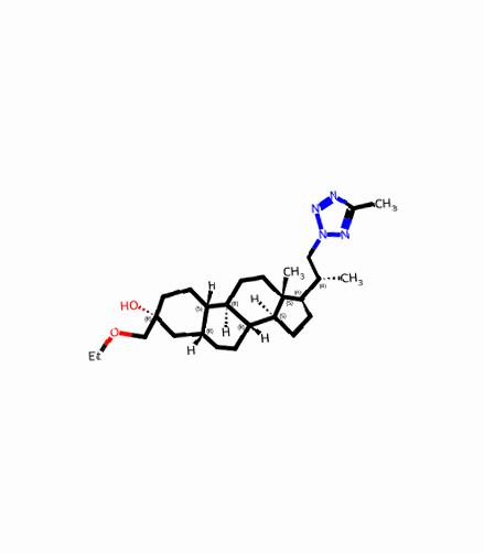 CCOC[C@@]1(O)CC[C@H]2[C@H](CC[C@@H]3[C@@H]2CC[C@]2(C)[C@@H]([C@@H](C)Cn4nnc(C)n4)CC[C@@H]32)C1